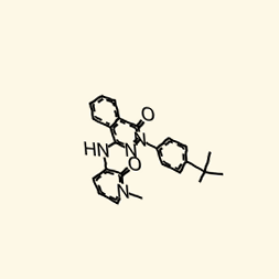 Cn1cccc(Nc2nn(-c3ccc(C(C)(C)C)cc3)c(=O)c3ccccc23)c1=O